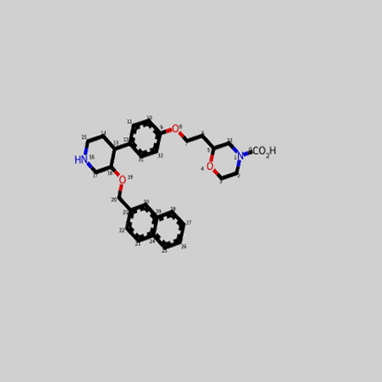 O=C(O)N1CCOC(CCOc2ccc(C3CCNCC3OCc3ccc4ccccc4c3)cc2)C1